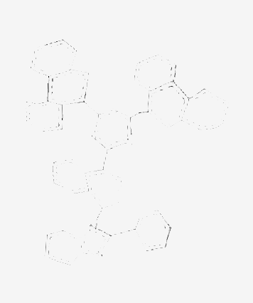 c1ccc(-c2nc3ccccc3n2-c2ccc(-c3nc(-c4cc5ccccc5c5ccccc45)nc(-c4cc5ccccc5c5ccccc45)n3)c3ccccc23)cc1